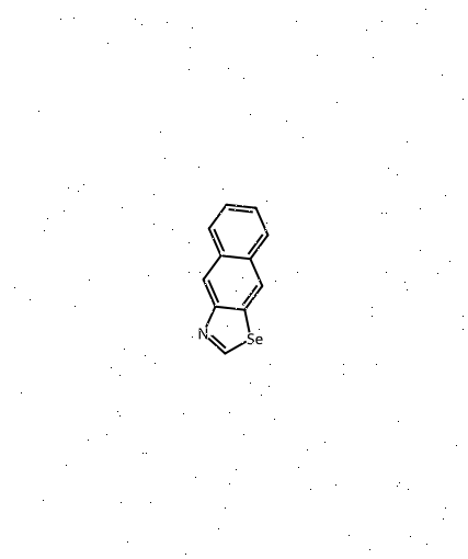 c1ccc2cc3[se]cnc3cc2c1